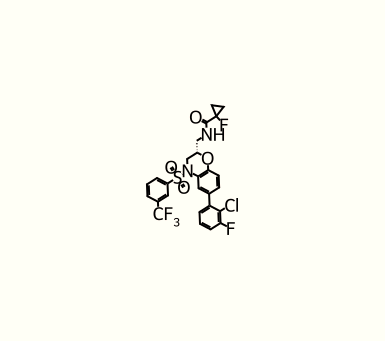 O=C(NC[C@H]1CN(S(=O)(=O)c2cccc(C(F)(F)F)c2)c2cc(-c3cccc(F)c3Cl)ccc2O1)C1(F)CC1